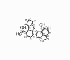 OB(O)C1C=CC=C2SC=C3C=CC=CC321.OB(O)c1cccc2sc3ccccc3c12